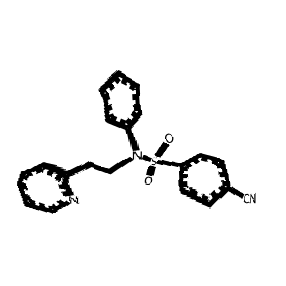 N#Cc1ccc(S(=O)(=O)N(CCc2ccccn2)c2ccccc2)cc1